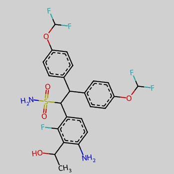 CC(O)c1c(N)ccc(C(C(c2ccc(OC(F)F)cc2)c2ccc(OC(F)F)cc2)S(N)(=O)=O)c1F